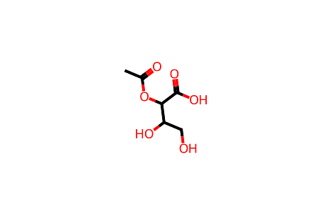 CC(=O)OC(C(=O)O)C(O)CO